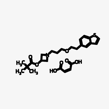 CC(C)(C)C(=O)OC1CN(CCCOCCc2ccc3sccc3c2)C1.O=C(O)/C=C\C(=O)O